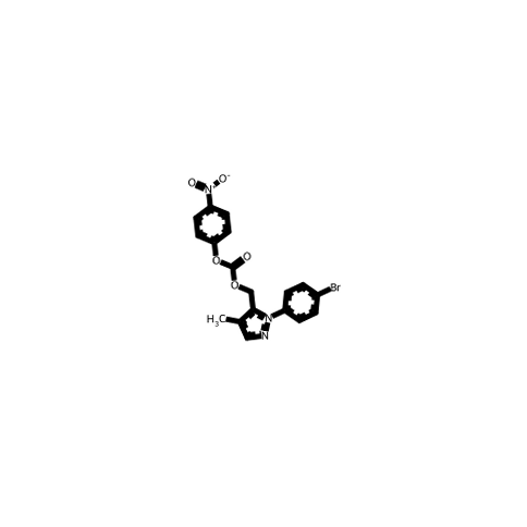 Cc1cnn(-c2ccc(Br)cc2)c1COC(=O)Oc1ccc([N+](=O)[O-])cc1